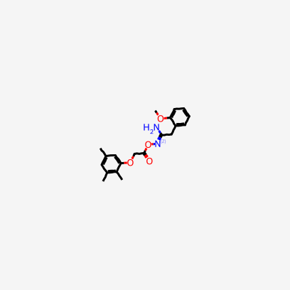 COc1ccccc1C/C(N)=N/OC(=O)COc1cc(C)cc(C)c1C